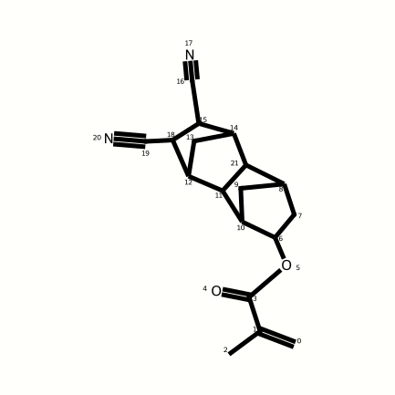 C=C(C)C(=O)OC1CC2CC1C1C3CC(C(C#N)C3C#N)C21